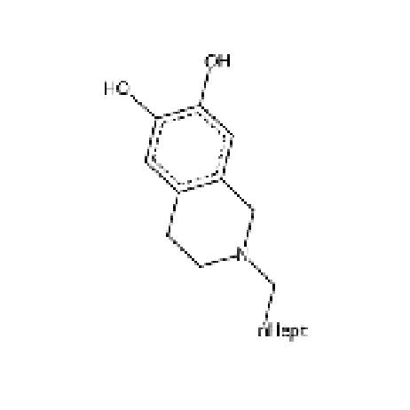 CCCCCCCCN1CCc2cc(O)c(O)cc2C1